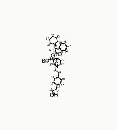 C[C@@](C(=O)O[C@H]1C[N+]2(CCc3ccc(CCO)cc3)CCC1CC2)(c1ccccc1)N1CCCCC1.[Br-]